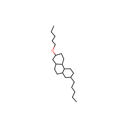 CCCCCOC1CCC2C(CCC3CC(CCCCC)CCC32)C1